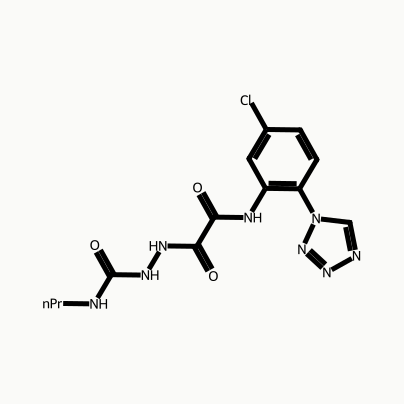 CCCNC(=O)NNC(=O)C(=O)Nc1cc(Cl)ccc1-n1cnnn1